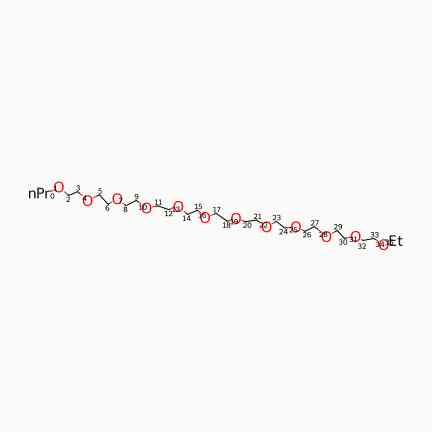 CCCOCCOCCOCCOCCOCCOCCOCCOCCOCCOCCOCCOCC